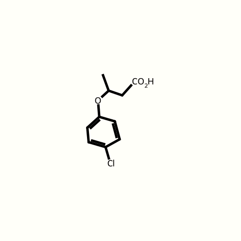 CC(CC(=O)O)Oc1ccc(Cl)cc1